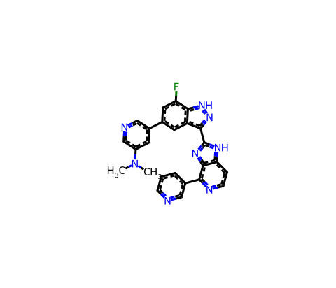 CN(C)c1cncc(-c2cc(F)c3[nH]nc(-c4nc5c(-c6cccnc6)nccc5[nH]4)c3c2)c1